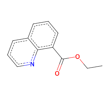 CCOC(=O)c1cccc2cccnc12